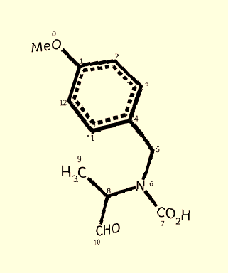 COc1ccc(CN(C(=O)O)C(C)C=O)cc1